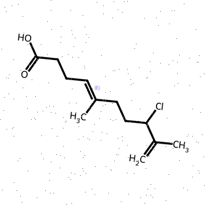 C=C(C)C(Cl)CC/C(C)=C/CCC(=O)O